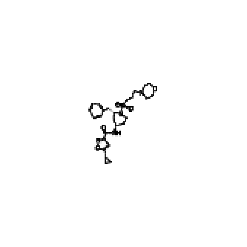 O=C(N[C@@H]1CCN(S(=O)(=O)CCCN2CCOCC2)[C@@H](Cc2ccccc2)C1)c1cc(C2CC2)on1